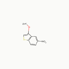 O=COc1csc2ccc([N+](=O)[O-])cc12